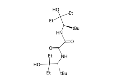 CCC(O)(CC)[C@H](NC(=O)C(=O)N[C@H](C(C)(C)C)C(O)(CC)CC)C(C)(C)C